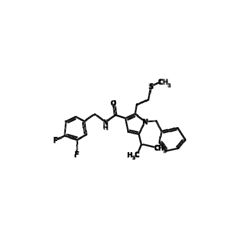 CSCCc1c(C(=O)NCc2ccc(F)c(F)c2)cc(C(C)C)n1Cc1ccccc1